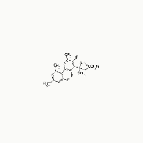 CCOC(=O)C[C@](N)([SiH3])c1c(F)c(-c2c(C)cc(C)cc2F)cc(C(F)(F)F)c1F